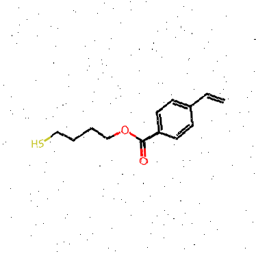 C=Cc1ccc(C(=O)OCCCCS)cc1